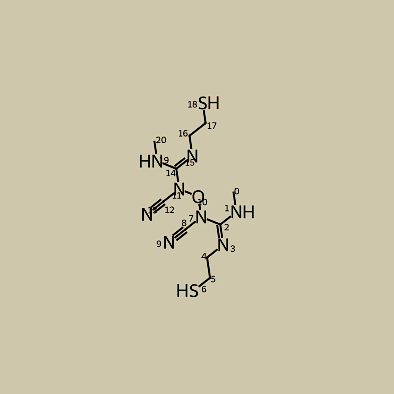 CNC(=NCCS)N(C#N)ON(C#N)C(=NCCS)NC